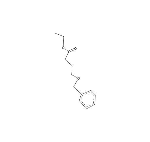 CCOC(=O)CCCOCc1ccccc1